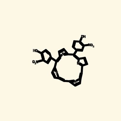 O=[N+]([O-])c1cc(C2=C3C=CC(=N3)C=C3C=CC(=N3)C=C3C=CC(=N3)C(c3ccc(O)c([N+](=O)[O-])c3)=C3C=CC2=N3)ccc1O